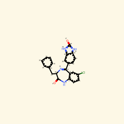 O=C1Nc2ccc(Cl)cc2C(c2ccc3[nH]c(=O)[nH]c3c2)=NC1Cc1ccccc1